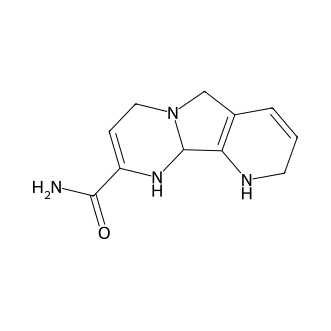 NC(=O)C1=CCN2CC3=C(NCC=C3)C2N1